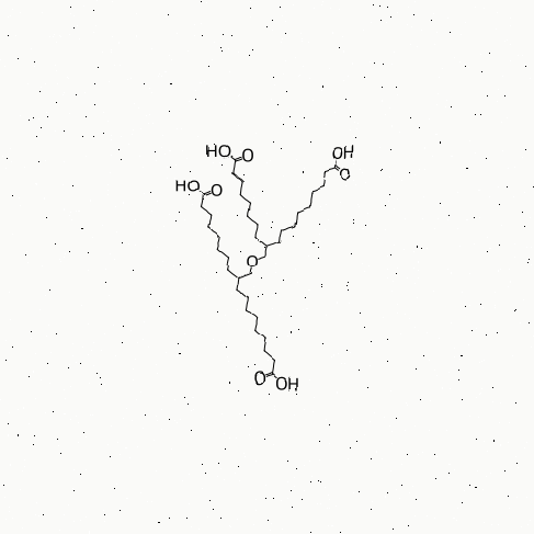 O=C(O)CCCCCCCCC(CCCCCCCC(=O)O)COCC(CCCCCCCCC(=O)O)CCCCCCCC(=O)O